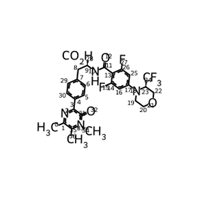 Cc1nc(-c2ccc(C[C@H](NC(=O)c3c(F)cc(N4CCOC[C@@H]4C(F)(F)F)cc3F)C(=O)O)cc2)c(=O)n(C)c1C